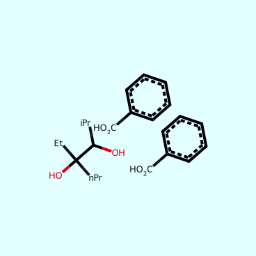 CCCC(O)(CC)C(O)C(C)C.O=C(O)c1ccccc1.O=C(O)c1ccccc1